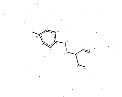 C=CC(CC)SSc1ccc(C)cn1